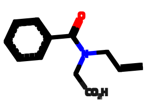 C=CCN(CC(=O)O)C(=O)c1ccccc1